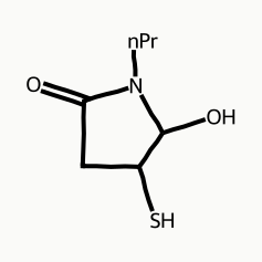 CCCN1C(=O)CC(S)C1O